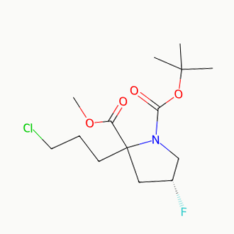 COC(=O)C1(CCCCl)C[C@@H](F)CN1C(=O)OC(C)(C)C